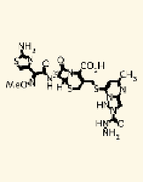 CON=C(C(=O)N[C@@H]1C(=O)N2C(C(=O)O)=C(CSC3=CC(C)=NC4=CN(C(=O)NN)NN43)CS[C@H]12)c1csc(N)n1